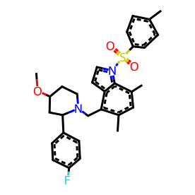 COC1CCN(Cc2c(C)cc(C)c3c2ccn3S(=O)(=O)c2ccc(C)cc2)C(c2ccc(F)cc2)C1